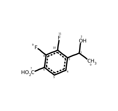 CC(O)c1ccc(C(=O)O)c(F)c1F